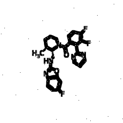 C[C@@H]1CCCN(C(=O)c2ccc(F)c(F)c2-c2ncccn2)[C@@H]1CNc1nc2ccc(F)cc2o1